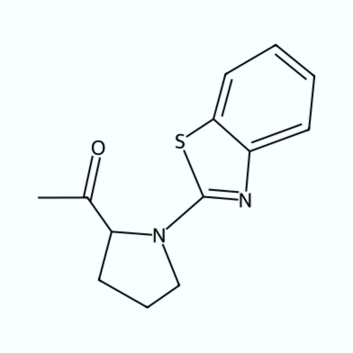 CC(=O)C1CCCN1c1nc2ccccc2s1